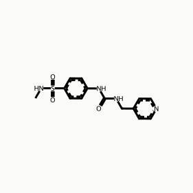 CNS(=O)(=O)c1ccc(NC(=O)NCc2ccncc2)cc1